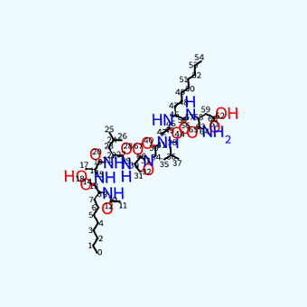 CCCCCCCC[C@H](NC(C)=O)C(=O)N[C@@H](CO)C(=O)N[C@@H](CC(C)C)C(=O)N[C@H]1CON([C@@H](CC(C)C)C(=O)NCC(=O)N[C@@H](CCCCCCCC)C(=O)N[C@@H](CC(=O)O)C(N)=O)C1=O